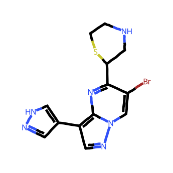 Brc1cn2ncc(-c3cn[nH]c3)c2nc1C1CNCCS1